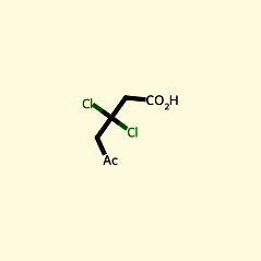 CC(=O)CC(Cl)(Cl)CC(=O)O